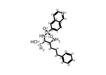 C[C@@H](NS(=O)(=O)c1ccc2cnccc2c1)[C@@H](N)CCCc1ccccc1.Cl